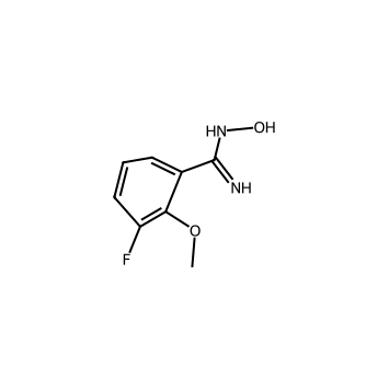 COc1c(F)cccc1C(=N)NO